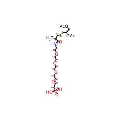 CC(=O)OC[C@H](CSC[C@H](C)C(=O)NCCOCCOCCOCCOCCP(=O)(O)O)OC(C)=O